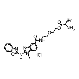 CC(C)C(N)C(=O)OCCOCCNC(=O)c1ccc2c(c1)nc(Nc1nc3ccccc3o1)n2C.Cl